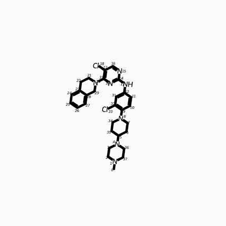 CN1CCN(C2CCN(c3ccc(Nc4ncc(Cl)c(N5CCc6ccccc6C5)n4)cc3Cl)CC2)CC1